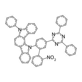 O=[N+]([O-])c1ccccc1-c1cc(-c2nc(-c3ccccc3)nc(-c3ccccc3)n2)ccc1-n1c2ccccc2c2ccc3c(c4ccccc4n3-c3ccccc3)c21